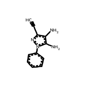 C#Cc1nn(-c2ccccc2)c(N)c1N